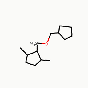 CC1CCC(C)C1[SiH2]OCC1CCCC1